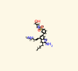 CCCCCc1cc2c(C#CCCCNC)cc(-c3cccc(S(=O)(=O)N4CC(CO)C4)c3)cc2nc1N